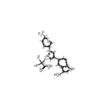 Nc1c[nH]c2ccc(-c3cnn(-c4ccc(C(F)(F)F)cc4)c3)cc12.O=C(O)C(F)(F)F